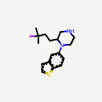 CC(C)(I)CCC1CNCCN1c1ccc2sccc2c1